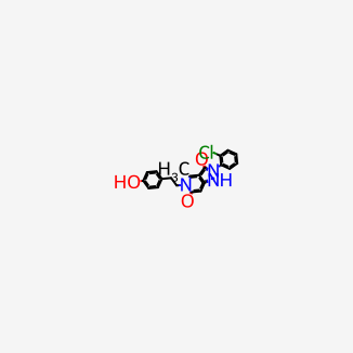 Cc1c2c(=O)n(-c3ccccc3Cl)[nH]c2cc(=O)n1CCc1ccc(O)cc1